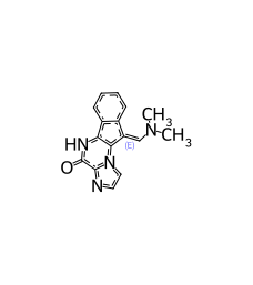 CN(C)/C=c1\c2ccccc2c2[nH]c(=O)c3nccn3c12